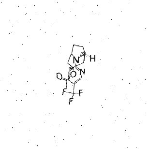 CC(=O)O[C@@H]1CC2CC[C@@H](C1)N2c1ccc(C(F)(F)F)cn1